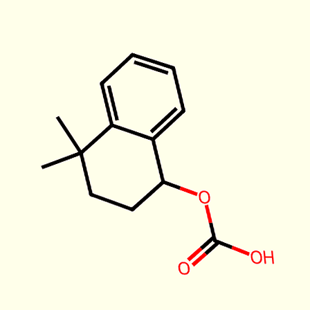 CC1(C)CCC(OC(=O)O)c2ccccc21